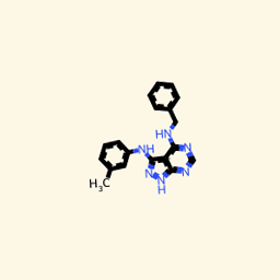 Cc1cccc(Nc2n[nH]c3ncnc(NCc4ccccc4)c23)c1